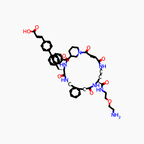 NCCOCCNC(=O)[C@@H]1CCNC(=O)/C=C/C(=O)N2CCC[C@](Cc3ccccc3)(C2)C(=O)N[C@@H](Cc2ccc(-c3ccc(/C=C/C(=O)O)cc3)cc2)C(=O)NCc2ccccc2CC(=O)N1